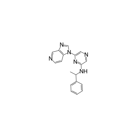 CC(Nc1cncc(-n2cnc3cnccc32)n1)c1ccccc1